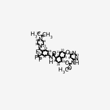 COC(=O)Nc1cc(Oc2ccc3c(C(=O)Nc4ccc(CN5CCN(C(C)C)CC5)c(C(F)(F)F)c4)cccc3c2)ncn1